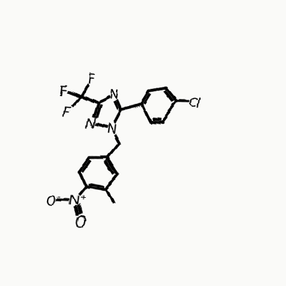 Cc1cc(Cn2nc(C(F)(F)F)nc2-c2ccc(Cl)cc2)ccc1[N+](=O)[O-]